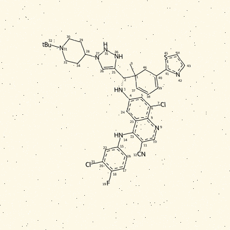 CC1([C@H](Nc2cc(Cl)c3ncc(C#N)c(Nc4ccc(F)c(Cl)c4)c3c2)C2=CN(C3CCN(C(C)(C)C)CC3)NN2)C=CC=C(c2nccs2)C1